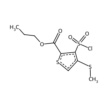 CCCOC(=O)c1scc(SC)c1S(=O)(=O)Cl